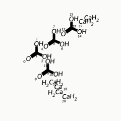 O=C(O)O.O=C(O)O.O=C(O)O.O=C(O)O.[CaH2].[CaH2].[CaH2].[CaH2].[CaH2].[CaH2]